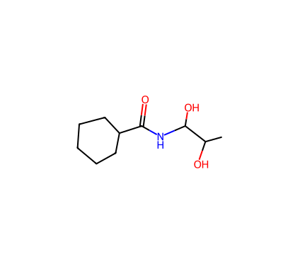 CC(O)C(O)NC(=O)C1CCCCC1